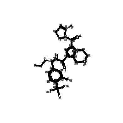 CCC[C@H](NC(=O)c1cc(C(=O)N2CCC[C@@H]2C)n2c1COCC2)c1ccc(C(F)(F)F)c(F)c1